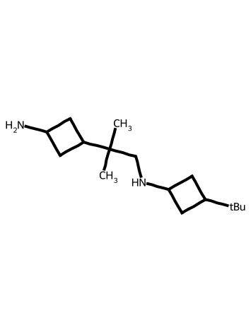 CC(C)(C)C1CC(NCC(C)(C)C2CC(N)C2)C1